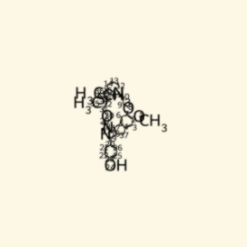 COc1cc2c(cc1OCCN1CCCCC1)-c1c(c(-c3ccc(O)cc3)nn1COCC[Si](C)(C)C)C2